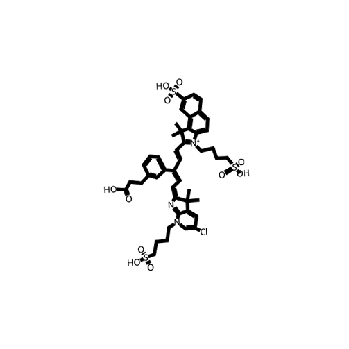 CC1(C)C2=CC(Cl)=CN(CCCCS(=O)(=O)O)C2=N/C1=C/C=C(/C=C/C1=[N+](CCCCS(=O)(=O)O)c2ccc3ccc(S(=O)(=O)O)cc3c2C1(C)C)c1cccc(CCC(=O)O)c1